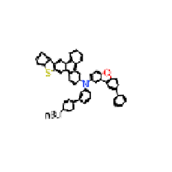 CCCCc1ccc(-c2cccc(N(c3ccc4oc5ccc(-c6ccccc6)cc5c4c3)c3ccc4c(c3)c3ccccc3c3cc5c(cc43)sc3ccccc35)c2)cc1